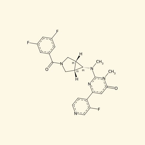 CN(c1nc(-c2ccncc2F)cc(=O)n1C)[C@@H]1[C@@H]2CN(C(=O)c3cc(F)cc(F)c3)C[C@@H]21